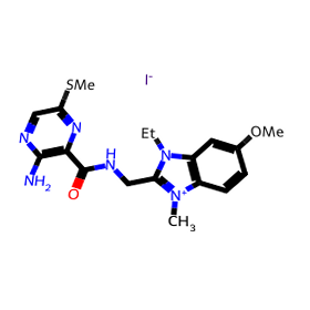 CCn1c(CNC(=O)c2nc(SC)cnc2N)[n+](C)c2ccc(OC)cc21.[I-]